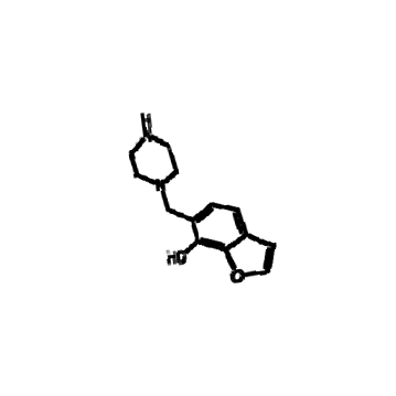 Oc1c(CN2CCNCC2)ccc2ccoc12